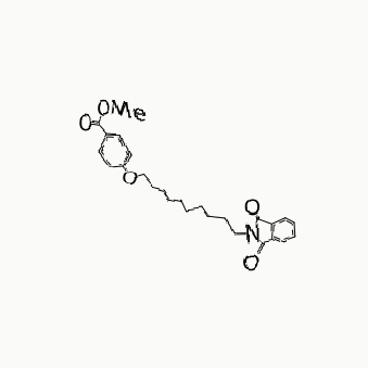 COC(=O)c1ccc(OCCCCCCCCCCN2C(=O)c3ccccc3C2=O)cc1